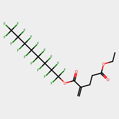 C=C(CCC(=O)OCC)C(=O)OC(F)(F)C(F)(F)C(F)(F)C(F)(F)C(F)(F)C(F)(F)C(F)(F)C(F)(F)F